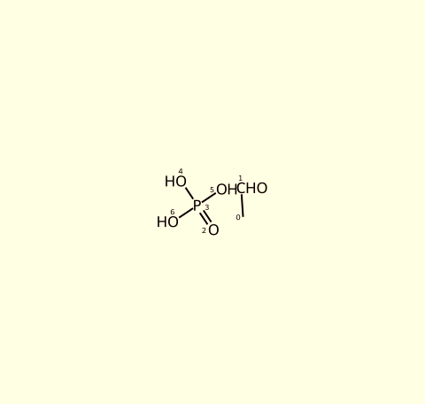 CC=O.O=P(O)(O)O